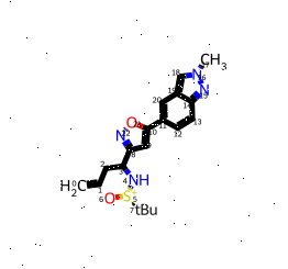 C=CCC(N[S@@+]([O-])C(C)(C)C)c1cc(-c2ccc3nn(C)cc3c2)on1